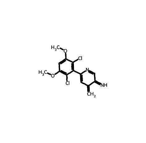 C=C1C=C(c2c(Cl)c(OC)cc(OC)c2Cl)N=CC1=N